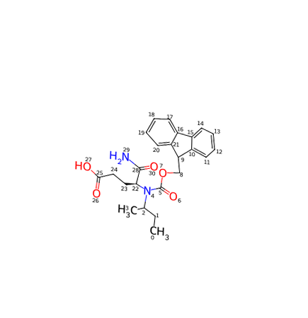 CCC(C)N(C(=O)OCC1c2ccccc2-c2ccccc21)[C@@H](CCC(=O)O)C(N)=O